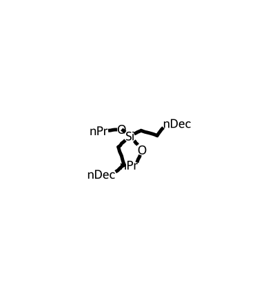 CCCCCCCCCCCC[Si](CCCCCCCCCCCC)(OCCC)OCCC